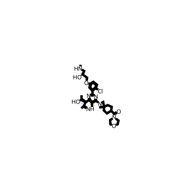 CNC[C@@H](O)COc1ccc(Cl)c(-c2nc(/C(C(C)=N)=C(\C)O)c(C)c(N3CC4(CCC(C(=O)N5CCOCC5)CC4)C3)n2)c1